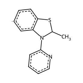 CC1Sc2cc[c]cc2N1c1ccccn1